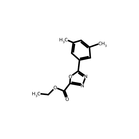 CCOC(=O)c1nnc(-c2cc(C)cc(C)c2)o1